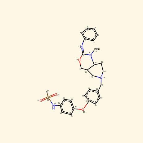 CCCCN1C(=Nc2ccccc2)OCC2CN(Cc3ccc(Oc4ccc(NS(C)(=O)=O)cc4)cc3)CCC21